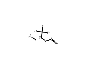 O=CO[C@H](CO)C(F)(F)F